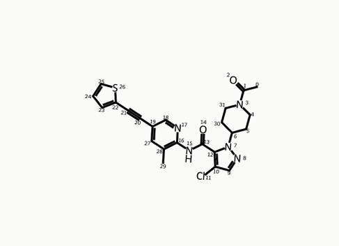 CC(=O)N1CCC(n2ncc(Cl)c2C(=O)Nc2ncc(C#Cc3cccs3)cc2C)CC1